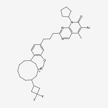 CC(=O)c1c(C)c2cnc(CCCc3ccc4c(c3)OC[C@@H]3CC4CCCCCC(C4CC(F)(F)C4)C3)nc2n(C2CCCC2)c1=O